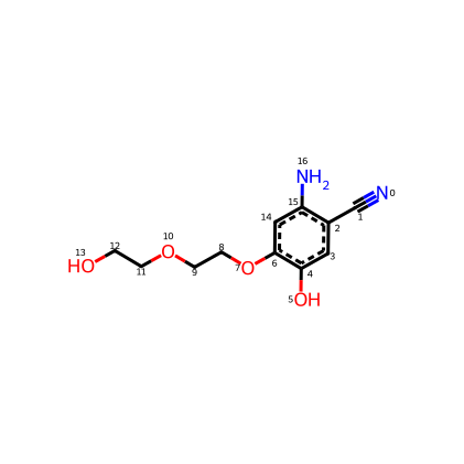 N#Cc1cc(O)c(OCCOCCO)cc1N